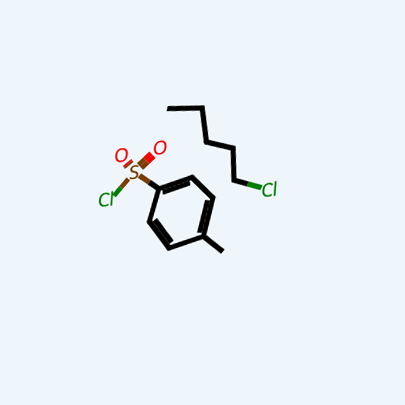 CCCCCCl.Cc1ccc(S(=O)(=O)Cl)cc1